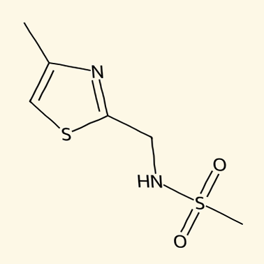 Cc1csc(CNS(C)(=O)=O)n1